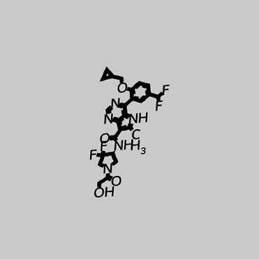 Cc1[nH]c2c(-c3cc(C(F)F)ccc3OCC3CC3)ncnc2c1C(=O)N[C@@H]1CN(C(=O)CO)CC1(F)F